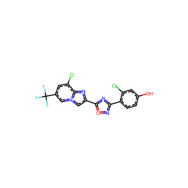 Oc1ccc(-c2noc(-c3cn4cc(C(F)(F)F)cc(Cl)c4n3)n2)c(Cl)c1